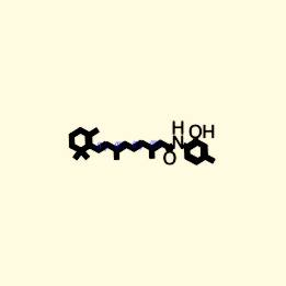 CC1=C(/C=C/C(C)=C/C=C/C(C)=C/C(=O)Nc2ccc(C)cc2O)C(C)(C)CCC1